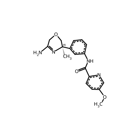 COc1ccc(C(=O)Nc2cccc([C@]3(C)COCC(N)=N3)c2)nc1